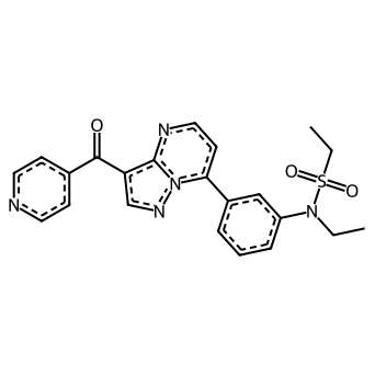 CCN(c1cccc(-c2ccnc3c(C(=O)c4ccncc4)cnn23)c1)S(=O)(=O)CC